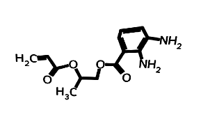 C=CC(=O)OC(C)COC(=O)c1cccc(N)c1N